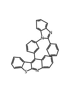 c1ccc(-c2nc3ccccc3n2-c2cccc(-c3c4ccccc4nc4sc5ccccc5c34)c2)cc1